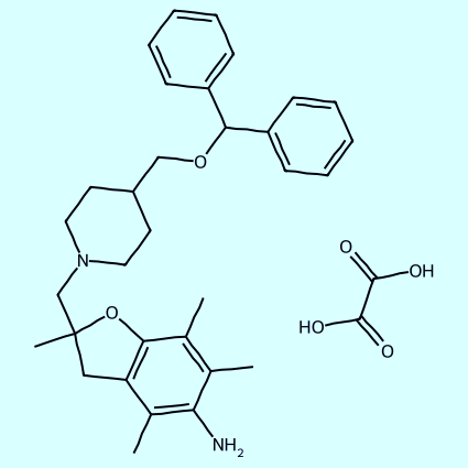 Cc1c(C)c2c(c(C)c1N)CC(C)(CN1CCC(COC(c3ccccc3)c3ccccc3)CC1)O2.O=C(O)C(=O)O